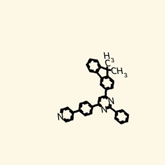 CC1(C)c2ccccc2-c2cc(-c3cc(-c4ccc(-c5ccncc5)cc4)nc(-c4ccccc4)n3)ccc21